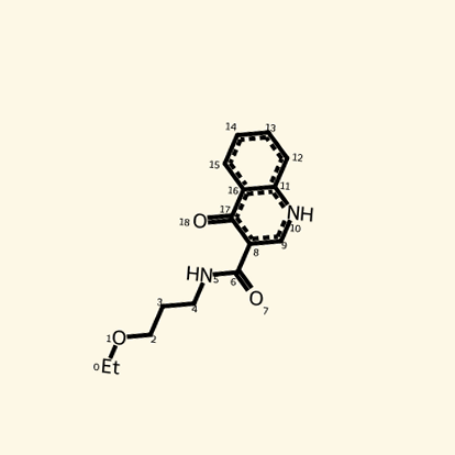 CCOCCCNC(=O)c1c[nH]c2ccccc2c1=O